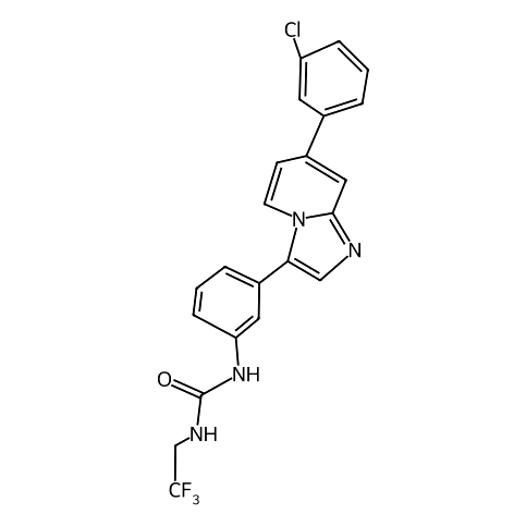 O=C(NCC(F)(F)F)Nc1cccc(-c2cnc3cc(-c4cccc(Cl)c4)ccn23)c1